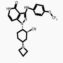 N#C[C@H]1C[C@@H](N2CCC2)CC[C@@H]1n1nc(Nc2ccc(OC(F)(F)F)cc2)c2c(=O)[nH]ccc21